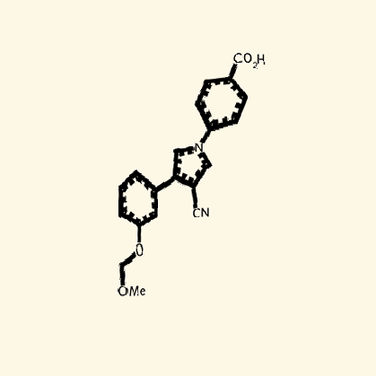 COCOc1cccc(-c2cn(-c3ccc(C(=O)O)cc3)cc2C#N)c1